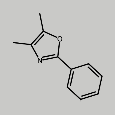 Cc1nc(-c2c[c]ccc2)oc1C